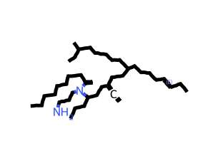 C=C=C(CCC(CCCC/C=C/CC)CCCCCC(C)CC)CCC(CCC)N(CCCN)C(=C)CCCCCCCC